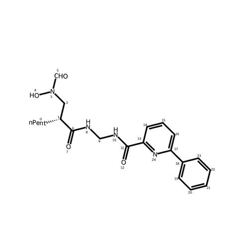 CCCCC[C@H](CN(O)C=O)C(=O)NCNC(=O)c1cccc(-c2ccccc2)n1